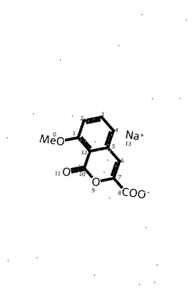 COc1cccc2cc(C(=O)[O-])oc(=O)c12.[Na+]